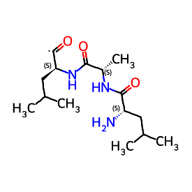 CC(C)C[C@@H]([C]=O)NC(=O)[C@H](C)NC(=O)[C@@H](N)CC(C)C